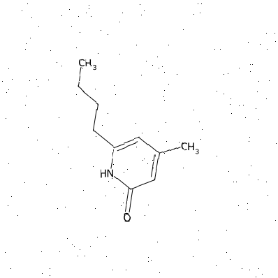 CCCCc1cc(C)cc(=O)[nH]1